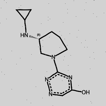 Oc1cnnc(N2CCC[C@@H](NC3CC3)C2)n1